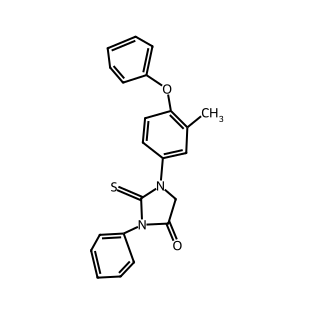 Cc1cc(N2CC(=O)N(c3ccccc3)C2=S)ccc1Oc1ccccc1